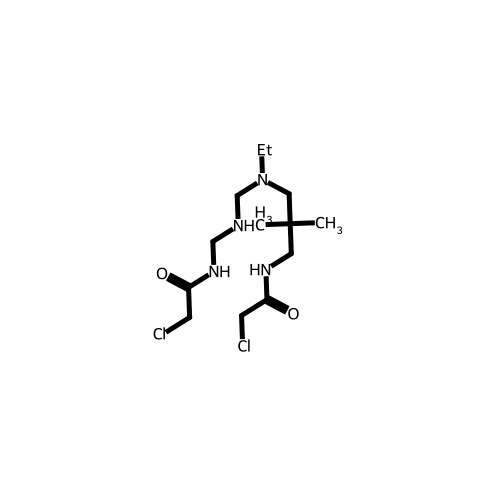 CCN(CNCNC(=O)CCl)CC(C)(C)CNC(=O)CCl